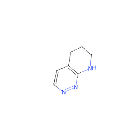 c1cc2c(nn1)NCCC2